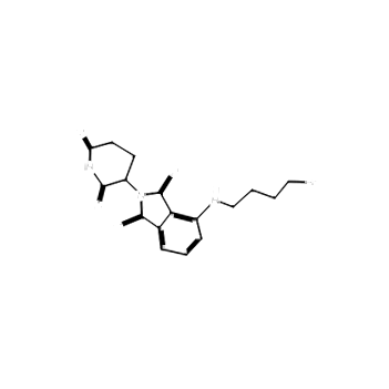 O=C1CCC(N2C(=O)c3cccc(NCCCCBr)c3C2=O)C(=O)N1